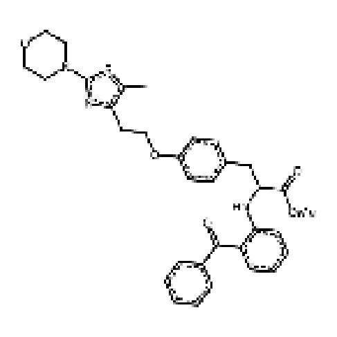 COC(=O)C(Cc1ccc(OCCc2nc(N3CCOCC3)sc2C)cc1)Nc1ccccc1C(=O)c1ccccc1